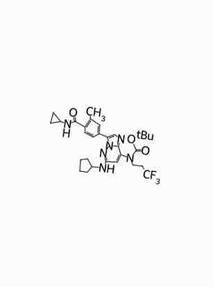 Cc1cc(-c2cnc3c(N(CCC(F)(F)F)C(=O)OC(C)(C)C)cc(NC4CCCC4)nn23)ccc1C(=O)NC1CC1